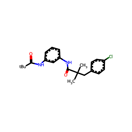 CC(C)(C)C(=O)Nc1cccc(NC(=O)C(C)(C)Cc2ccc(Cl)cc2)c1